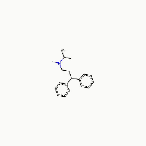 C[C](C)C(C)N(C)CCC(c1ccccc1)c1ccccc1